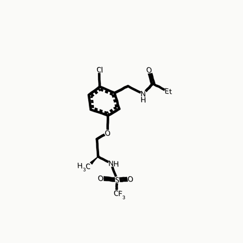 CCC(=O)NCc1cc(OC[C@H](C)NS(=O)(=O)C(F)(F)F)ccc1Cl